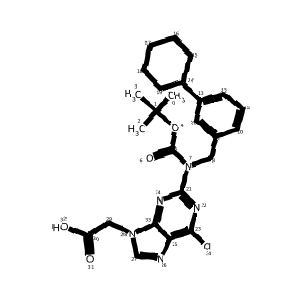 CC(C)(C)OC(=O)N(Cc1cccc(C2CCCCC2)c1)c1nc(Cl)c2ncn(CC(=O)O)c2n1